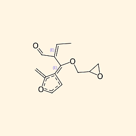 C=c1occ/c1=C(OCC1CO1)/C(C=O)=C\C